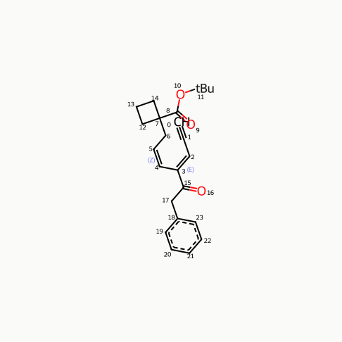 C#C/C=C(\C=C/CC1(C(=O)OC(C)(C)C)CCC1)C(=O)Cc1ccccc1